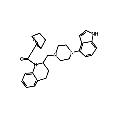 O=C(C1CC2CCC1CC2)N1c2ccccc2CCC1CN1CCN(c2cccc3[nH]ccc23)CC1